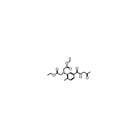 CCOC(=O)CN(CC(=O)OCC)c1cc(C(=O)NCC(C)=O)ccc1C